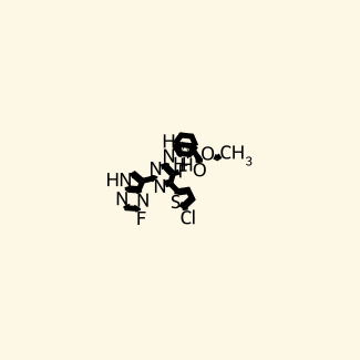 CCOC(=O)[C@@H]1C2CCC(CC2)[C@H]1Nc1nc(-c2c[nH]c3ncc(F)nc23)nc(-c2ccc(Cl)s2)c1F